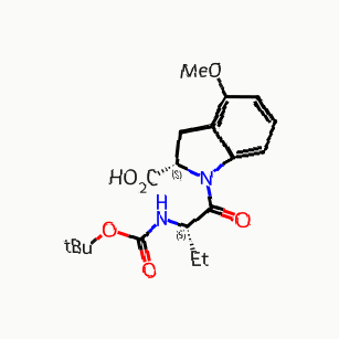 CC[C@H](NC(=O)OC(C)(C)C)C(=O)N1c2cccc(OC)c2C[C@H]1C(=O)O